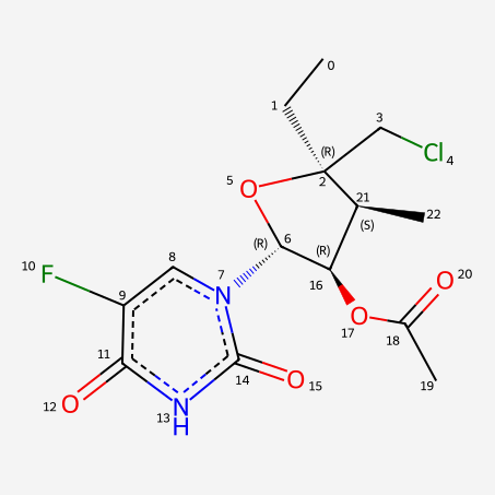 CC[C@@]1(CCl)O[C@@H](n2cc(F)c(=O)[nH]c2=O)[C@H](OC(C)=O)[C@@H]1C